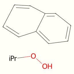 CC(C)OO.c1ccc2ccccc2c1